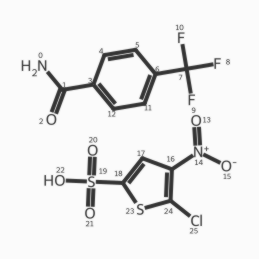 NC(=O)c1ccc(C(F)(F)F)cc1.O=[N+]([O-])c1cc(S(=O)(=O)O)sc1Cl